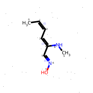 C\C=C/C=C(/C=N/O)NC